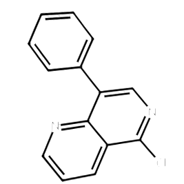 Clc1ncc(-c2ccccc2)c2ncccc12